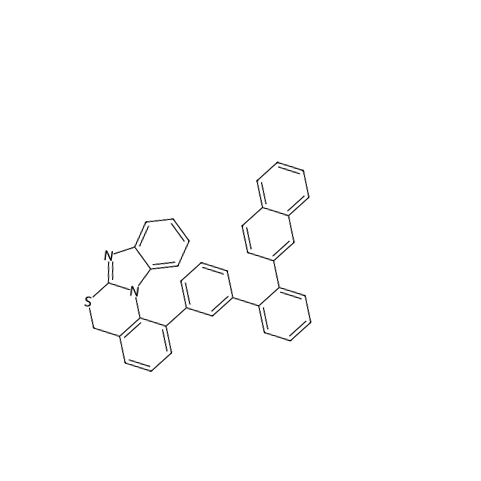 c1cc(-c2ccccc2-c2ccc3ccccc3c2)cc(-c2cccc3c2-n2c(nc4ccccc42)SC3)c1